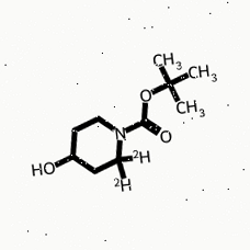 [2H]C1([2H])CC(O)CCN1C(=O)OC(C)(C)C